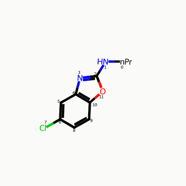 [CH2]CCNc1nc2cc(Cl)ccc2o1